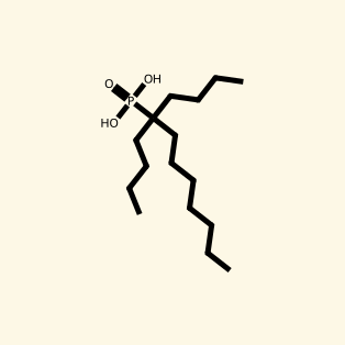 CCCCCCCC(CCCC)(CCCC)P(=O)(O)O